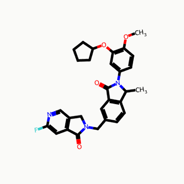 COc1ccc(N2C(=O)c3cc(CN4Cc5cnc(F)cc5C4=O)ccc3C2C)cc1OC1CCCC1